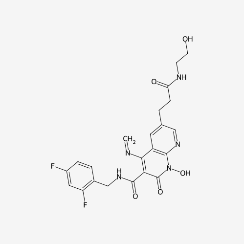 C=Nc1c(C(=O)NCc2ccc(F)cc2F)c(=O)n(O)c2ncc(CCC(=O)NCCO)cc12